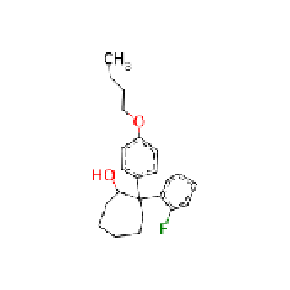 CCCCOc1ccc(C2(c3ccccc3F)CCCCCC2O)cc1